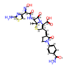 NC(=O)c1ccc(N2CCC(=CC3=C(C(=O)O)N4C(=O)[C@@H](NC(=O)/C(=N\O)c5csc(N)n5)[C@H]4SC3)C2=O)cc1